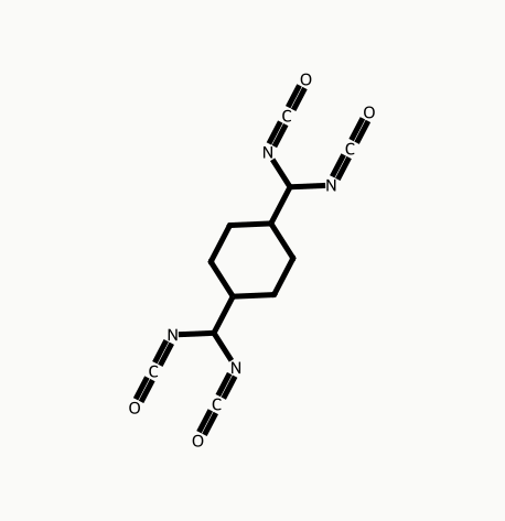 O=C=NC(N=C=O)C1CCC(C(N=C=O)N=C=O)CC1